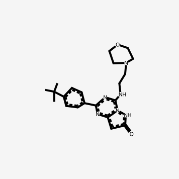 CC(C)(C)c1ccc(-c2nc(NCCN3CCOCC3)n3[nH]c(=O)cc3n2)cc1